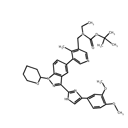 CCN(Cc1cncc(-c2ccc3c(c2)c(-c2nc(-c4ccc(OC)c(OC)c4)c[nH]2)nn3C2CCCCO2)c1C)C(=O)OC(C)(C)C